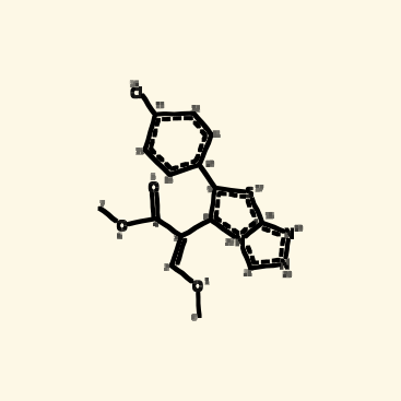 CO/C=C(/C(=O)OC)c1c(-c2ccc(Cl)cc2)sc2nncn12